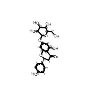 O=C1C[C@@H](c2ccc(O)cc2)Oc2cc(OC3OC(CO)C(O)C(O)C3O)cc(O)c21